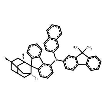 CC1(C)c2ccccc2-c2ccc(N(c3ccc4ccccc4c3)c3cccc4c3-c3ccccc3C43[C@H]4CC5C[C@H](C4)C[C@@H]3C5)cc21